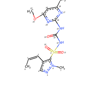 C/C=C\c1cnn(C)c1S(=O)(=O)NC(=O)Nc1nc(C)cc(OC)n1